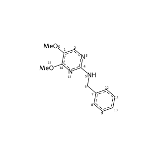 COc1cnc(NCc2ccccc2)nc1OC